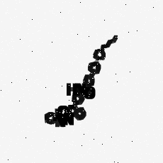 CCCCC[C@H]1CC[C@H](c2ccc(-c3ccc(C(=O)Nc4ccc(-c5cc6c(c7ccccc57)N=CC5(O6)N(C)c6ccccc6C5(C)C)cc4)cc3)cc2)CC1